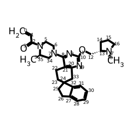 C=CC(=O)N1CCN(c2nc(OC[C@@H]3CCCN3C)nc3c2CCC2(CCc4ccccc42)C3)C[C@H]1C